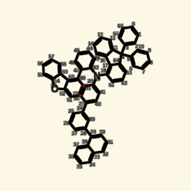 c1ccc(C2(c3ccccc3)c3ccccc3-c3c(N(c4ccc(-c5cccc(-c6cccc7ccccc67)c5)cc4)c4ccccc4-c4cccc5oc6ccccc6c45)cccc32)cc1